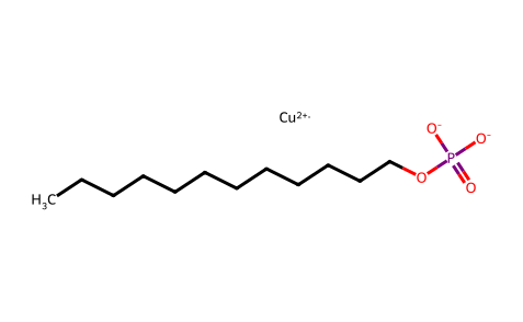 CCCCCCCCCCCCOP(=O)([O-])[O-].[Cu+2]